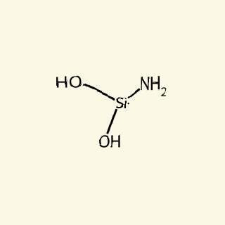 N[Si](O)O